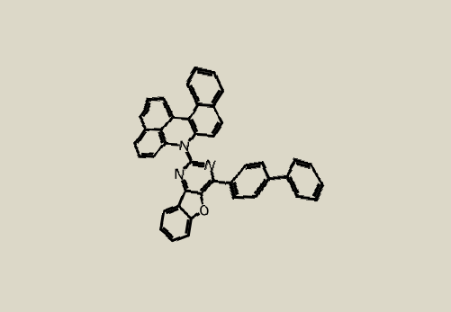 c1ccc(-c2ccc(-c3nc(N4c5ccc6ccccc6c5-c5cccc6cccc4c56)nc4c3oc3ccccc34)cc2)cc1